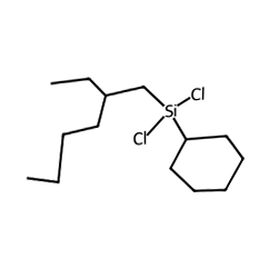 CCCCC(CC)C[Si](Cl)(Cl)C1CCCCC1